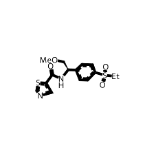 CCS(=O)(=O)c1ccc([C@H](COC)NC(=O)c2cncs2)cc1